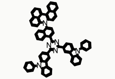 c1ccc(-n2c3ccccc3c3cc(-c4nc(-c5ccc6c(c5)c5ccccc5n6-c5ccccc5)nc(-c5ccc(N6c7ccc8ccccc8c7-c7cccc8cccc6c78)c6ccccc56)n4)ccc32)cc1